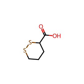 O=C(O)C1CCCSS1